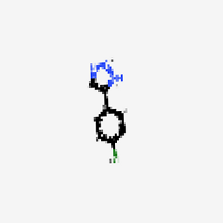 Clc1ccc(-c2[c]nn[nH]2)cc1